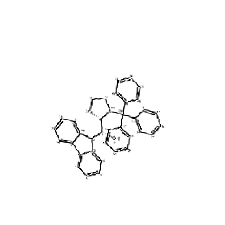 O[C@H](C1c2ccccc2-c2ccccc21)[C@@H]1CCCN1C(c1ccccc1)(c1ccccc1)c1ccccc1